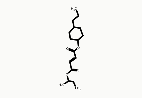 CCCC1CCC(OC(=O)/C=C/C(=O)OC(C)CC)CC1